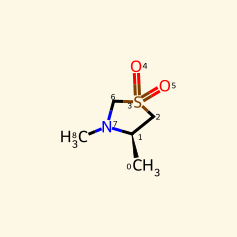 C[C@@H]1CS(=O)(=O)CN1C